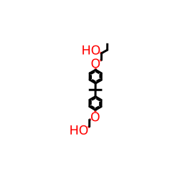 CCC(O)COc1ccc(C(C)(C)c2ccc(OCCO)cc2)cc1